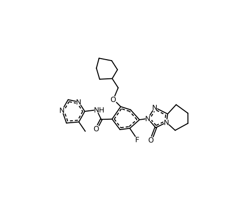 Cc1cncnc1NC(=O)c1cc(F)c(-n2nc3n(c2=O)CCCC3)cc1OCC1CCCCC1